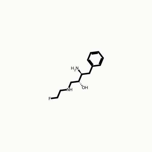 N[C@@H](Cc1ccccc1)[C@H](O)CNCCF